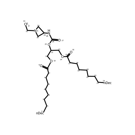 CCCCCCCCCCCCCCCCCC(=O)OCC(COC(=O)CCCCCCCCCCCCCCCCC)OC(=O)NC1CN(CC(F)(F)F)C1